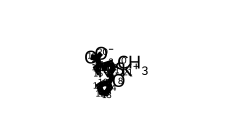 CSc1cc2n(c1C(=O)c1ccccc1)CCC2C(=O)[O-].[K+]